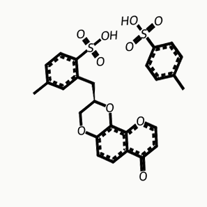 Cc1ccc(S(=O)(=O)O)c(C[C@@H]2COc3ccc4c(=O)ccoc4c3O2)c1.Cc1ccc(S(=O)(=O)O)cc1